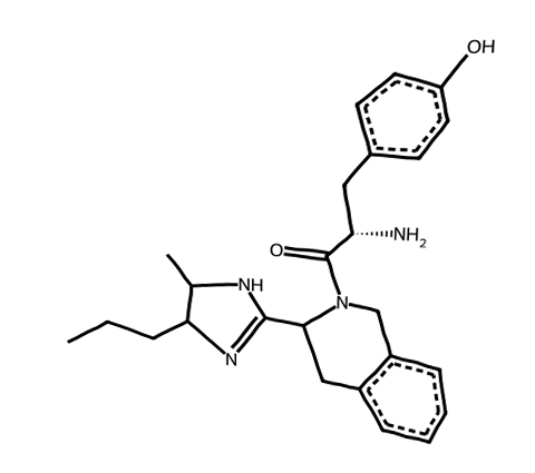 CCCC1N=C(C2Cc3ccccc3CN2C(=O)[C@@H](N)Cc2ccc(O)cc2)NC1C